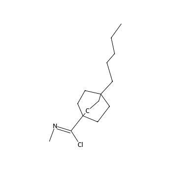 CCCCCC12CCC(C(Cl)=NC)(CC1)CC2